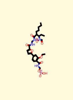 CCCCCC(C(=O)NCNC(=O)c1ccc(-c2ccc(C(=O)NCO[PH](=O)O)c(OCC)c2)o1)C(CC)N(O)C=O